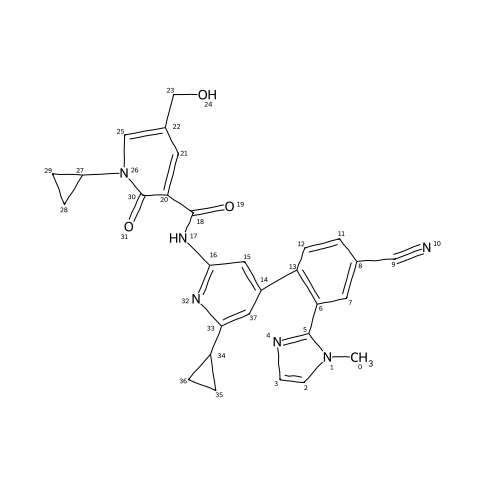 Cn1ccnc1-c1cc(C#N)ccc1-c1cc(NC(=O)c2cc(CO)cn(C3CC3)c2=O)nc(C2CC2)c1